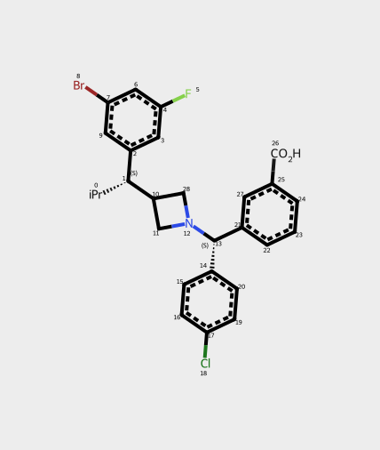 CC(C)[C@H](c1cc(F)cc(Br)c1)C1CN([C@@H](c2ccc(Cl)cc2)c2cccc(C(=O)O)c2)C1